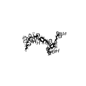 C=CCOC(=O)N[C@H](C(=O)N[C@@H](C)C(=O)Nc1ccc(COC(=O)Nc2cc(OCCCC(=O)OC)c(F)cc2C(=O)N2CCC[C@H]2CO)cc1)C(C)C